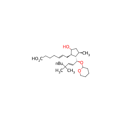 CCCCC(C)(C)C=C[C@H](OC1CCCCO1)[C@H]1[C@H](C)CC(O)[C@@H]1CC=CCCCC(=O)O